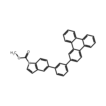 COC(=O)n1ccc2cc(-c3cccc(-c4ccc5c6ccccc6c6ccccc6c5c4)c3)ccc21